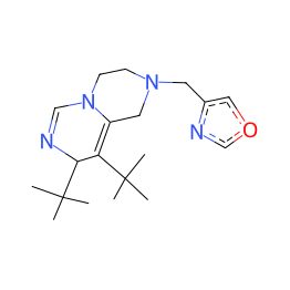 CC(C)(C)C1=C2CN(Cc3cocn3)CCN2C=NC1C(C)(C)C